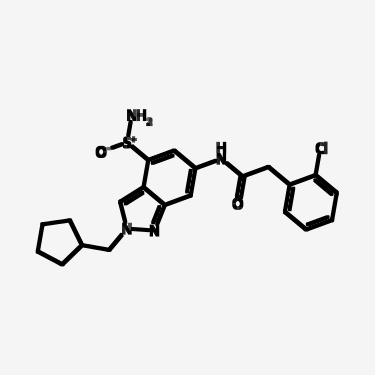 N[S+]([O-])c1cc(NC(=O)Cc2ccccc2Cl)cc2nn(CC3CCCC3)cc12